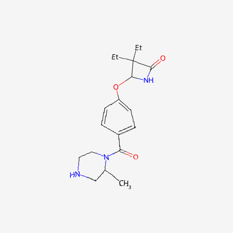 CCC1(CC)C(=O)NC1Oc1ccc(C(=O)N2CCNCC2C)cc1